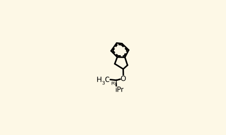 CC(C)[C@@H](C)OC1Cc2ccccc2C1